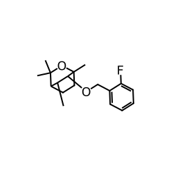 CC1C2CCC(C)(OC2(C)C)C1OCc1ccccc1F